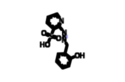 O=S(=O)(O)c1cccnc1/N=N/Cc1ccccc1O